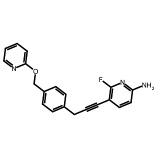 Nc1ccc(C#CCc2ccc(COc3ccccn3)cc2)c(F)n1